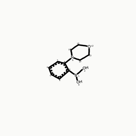 OB(O)c1ccccc1N1CCOCC1